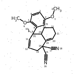 COc1ccc(OC)c([C@]2(I)C=CCC(C#N)(C#N)C3=CCCCC32)c1